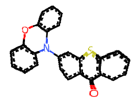 O=c1c2ccccc2sc2cc(N3c4ccccc4Oc4ccccc43)ccc12